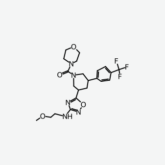 COCCNc1noc(C2CC(c3ccc(C(F)(F)F)cc3)CN(C(=O)N3CCOCC3)C2)n1